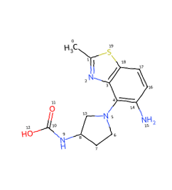 Cc1nc2c(N3CCC(NC(=O)O)C3)c(N)ccc2s1